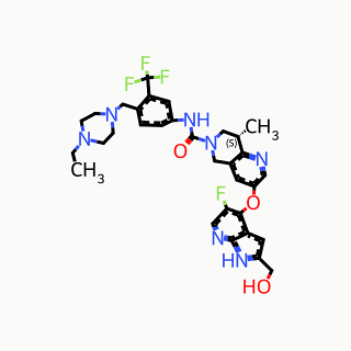 CCN1CCN(Cc2ccc(NC(=O)N3Cc4cc(Oc5c(F)cnc6[nH]c(CO)cc56)cnc4[C@@H](C)C3)cc2C(F)(F)F)CC1